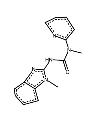 CN(C(=O)Nc1nc2ccccc2n1C)c1ccccn1